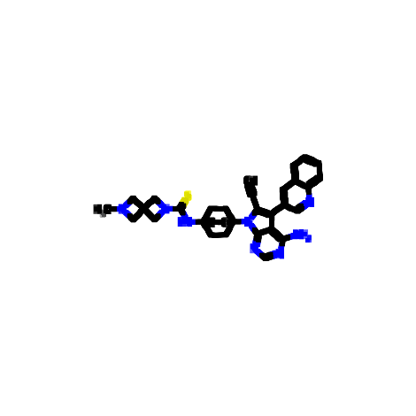 C#Cc1c(-c2cnc3ccccc3c2)c2c(N)ncnc2n1C12CCC(NC(=S)N3CC4(CN(C)C4)C3)(CC1)CC2